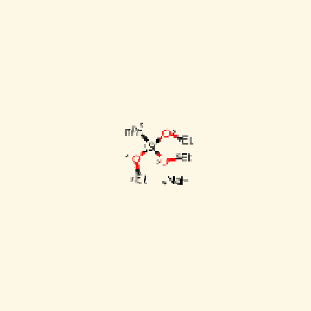 [CH2]CC[Si](OCC)(OCC)OCC.[NaH]